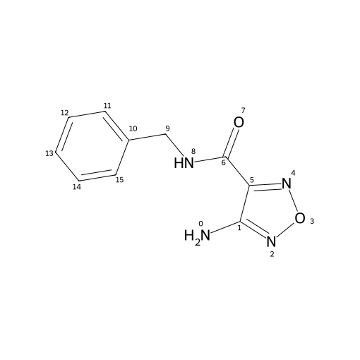 Nc1nonc1C(=O)NCc1ccccc1